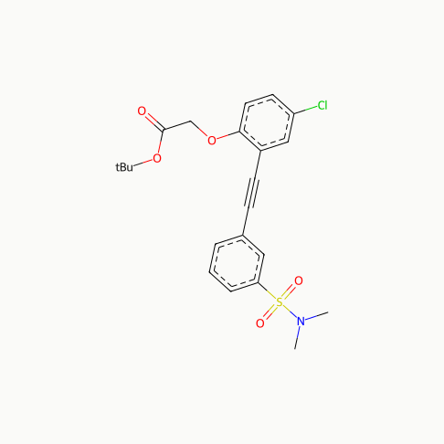 CN(C)S(=O)(=O)c1cccc(C#Cc2cc(Cl)ccc2OCC(=O)OC(C)(C)C)c1